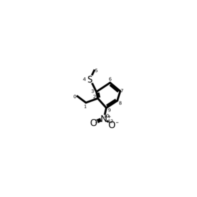 CCc1c(SC)cccc1[N+](=O)[O-]